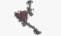 CC[C@H](C)[C@@H]([C@@H](CC(=O)N1CCC[C@H]1[C@H](OC)[C@@H](C)C(=O)N[C@@H](Cc1ccccc1)CS(=O)(=O)NC(=O)CCCCCN1C(=O)C=CC1=O)OC)N(C)C(=O)[C@@H](NC(=O)[C@@H]1[C@H]2CC[C@H](C2)N1C)C(C)CC(C)[C@H](C)[C@@H]([C@@H](CC(=O)N1CCC[C@H]1[C@H](OC)[C@@H](C)C(=O)N[C@@H](Cc1ccccc1)C(=O)NCCOCCOCCOCCn1cc(CN2C(=O)C=CC2=O)nn1)OC)N(C)C(=O)[C@@H](NC(=O)C1[C@H]2CC[C@H](C2)N1C)C(C)C